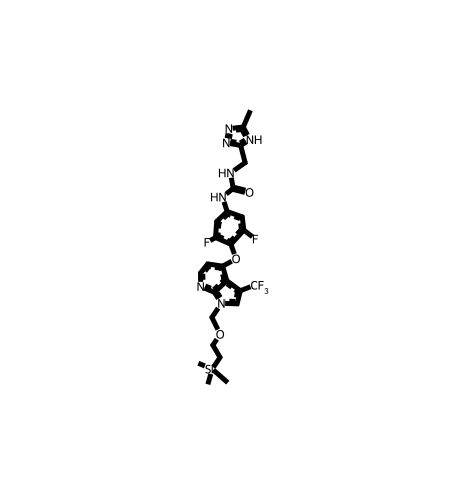 Cc1nnc(CNC(=O)Nc2cc(F)c(Oc3ccnc4c3c(C(F)(F)F)cn4COCC[Si](C)(C)C)c(F)c2)[nH]1